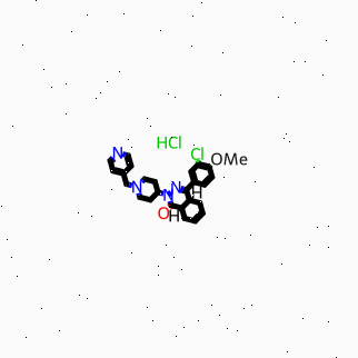 COc1ccc(C2=NN(C3CCN(Cc4ccncc4)CC3)C(=O)[C@H]3CC=CC[C@@H]23)cc1Cl.Cl